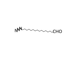 [N-]=[N+]=NCCCCCCCCCCCCCCCC=O